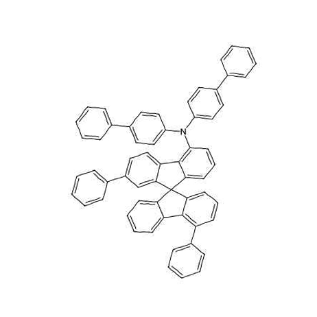 c1ccc(-c2ccc(N(c3ccc(-c4ccccc4)cc3)c3cccc4c3-c3ccc(-c5ccccc5)cc3C43c4ccccc4-c4c(-c5ccccc5)cccc43)cc2)cc1